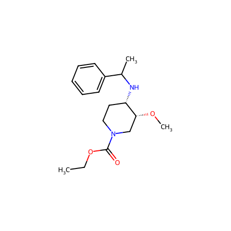 CCOC(=O)N1CC[C@H](NC(C)c2ccccc2)[C@H](OC)C1